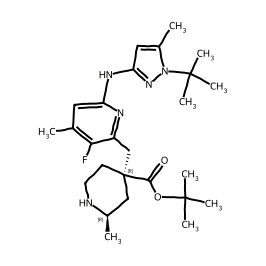 Cc1cc(Nc2cc(C)n(C(C)(C)C)n2)nc(C[C@@]2(C(=O)OC(C)(C)C)CCN[C@H](C)C2)c1F